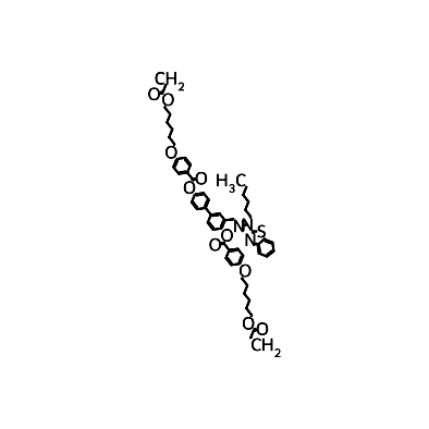 C=CC(=O)OCCCCCCOc1ccc(C(=O)Oc2ccc(-c3ccc(OC(=O)c4ccc(OCCCCCCOC(=O)C=C)cc4)c(/C=N/N(CCCCCC)c4nc5ccccc5s4)c3)cc2)cc1